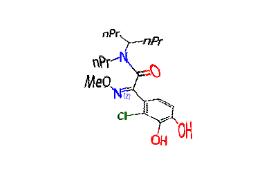 CCCC(CCC)N(CCC)C(=O)/C(=N\OC)c1ccc(O)c(O)c1Cl